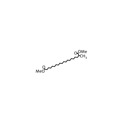 COC(=O)CCCCCCCCCCCCCCCCCC(C)C(=O)OC